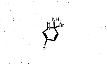 NC1(Br)C=CC(Br)=CN1